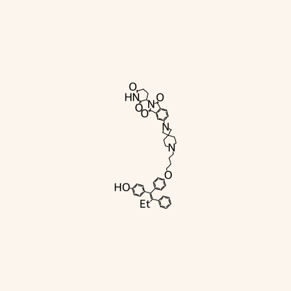 CC/C(=C(\c1ccc(O)cc1)c1ccc(OCCCCN2CCC3(CC2)CN(c2ccc4c(c2)C(=O)N(C2CCC(=O)NC2=O)C4=O)C3)cc1)c1ccccc1